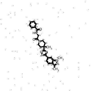 Cc1nn(C)c2cc(-c3noc(C4(C)CCN(C(=O)CNC(=O)c5ccccc5)CC4)n3)ccc12